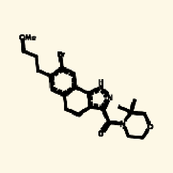 COCCCc1cc2c(cc1Br)-c1[nH]nc(C(=O)N3CCOCC3(C)C)c1CC2